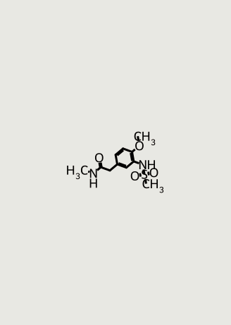 CNC(=O)Cc1ccc(OC)c(NS(C)(=O)=O)c1